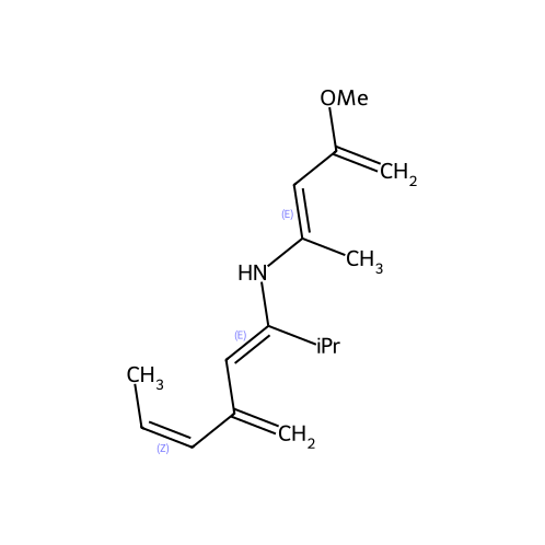 C=C(/C=C\C)/C=C(/N/C(C)=C/C(=C)OC)C(C)C